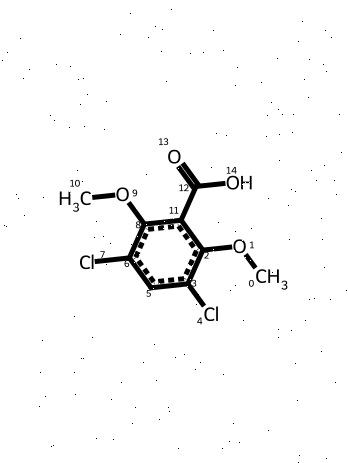 COc1c(Cl)cc(Cl)c(OC)c1C(=O)O